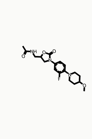 COC1CCN(c2ccc(N3CC(CNC(C)=O)OC3=O)cc2F)CC1